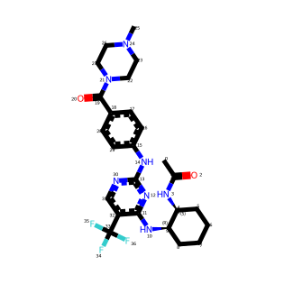 CC(=O)N[C@H]1CCCC[C@H]1Nc1nc(Nc2ccc(C(=O)N3CCN(C)CC3)cc2)ncc1C(F)(F)F